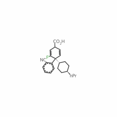 CCC[C@H]1CC[C@H](C2(c3ccccc3C#N)C=CC(C(=O)O)C=C2F)CC1